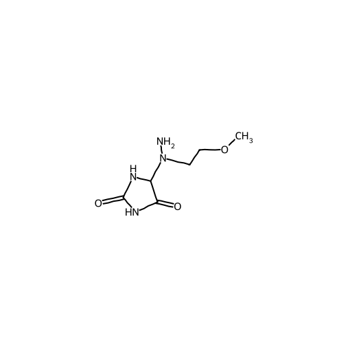 COCCN(N)C1NC(=O)NC1=O